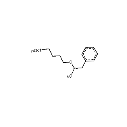 CCCCCCCCCCCCOP(O)Cc1ccccc1